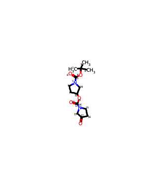 CC(C)(C)OC(=O)N1CCC(OC(=O)N2CCC(=O)C2)C1